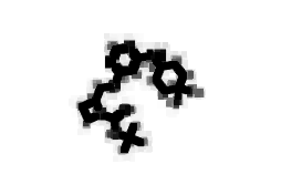 CC(C)(C)OC(=O)N1CCC1COc1cc(NC2CCC(F)(F)CC2)ncn1